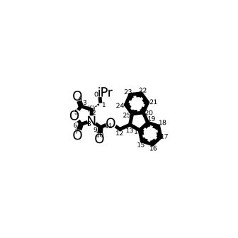 CC(C)C[C@H]1C(=O)OC(=O)N1C(=O)OCC1c2ccccc2-c2ccccc21